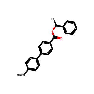 CCCCCCCCCc1ccc(-c2ccc(C(=O)OC(CC)c3ccccc3)cc2)cc1